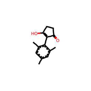 Cc1cc(C)c(C2=C(O)CCC2=O)c(C)c1